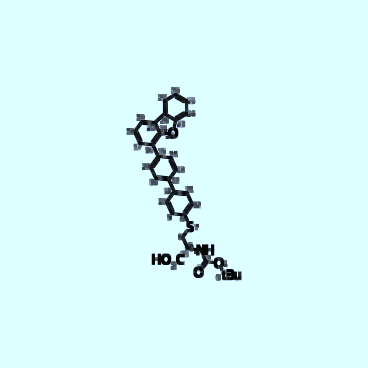 CC(C)(C)OC(=O)N[C@@H](CSc1ccc(-c2ccc(-c3cccc4c3oc3ccccc34)cc2)cc1)C(=O)O